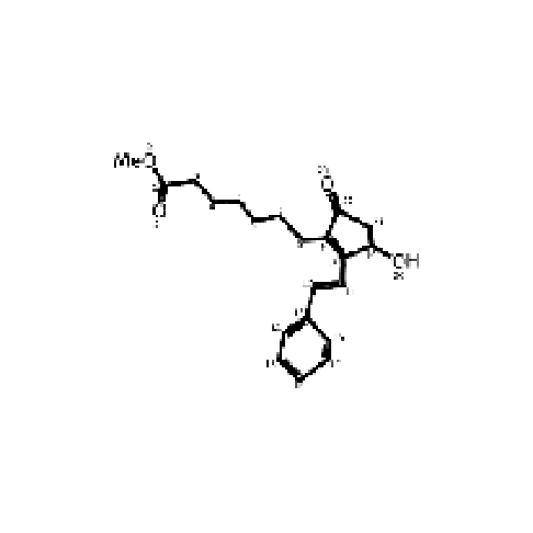 COC(=O)CCCCCCC1=C(C=Cc2ccccc2)C(O)CC1=O